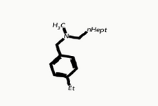 CCCCCCCCN(C)Cc1ccc(CC)cc1